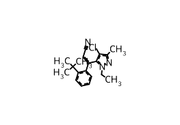 CCn1nc(C)c(Cl)c1C(=CC#N)c1ccccc1C(C)(C)C